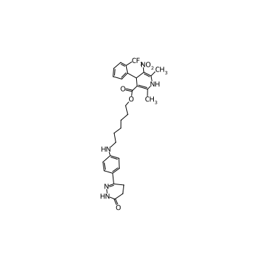 CC1=C(C(=O)OCCCCCCNc2ccc(C3=NNC(=O)CC3)cc2)C(c2ccccc2C(F)(F)F)C([N+](=O)[O-])=C(C)N1